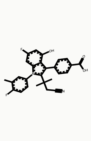 Cc1cc(-n2c(C(C)(C)CC#N)c(-c3ccc(C(=O)O)cc3)c3c(O)cc(F)cc32)ccc1F